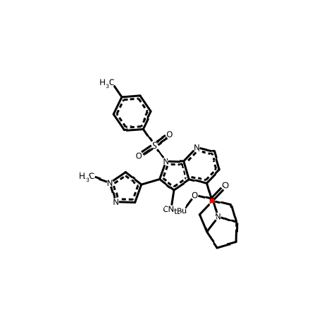 Cc1ccc(S(=O)(=O)n2c(-c3cnn(C)c3)c(C#N)c3c(N4CC5CCC(C4)N5C(=O)OC(C)(C)C)ccnc32)cc1